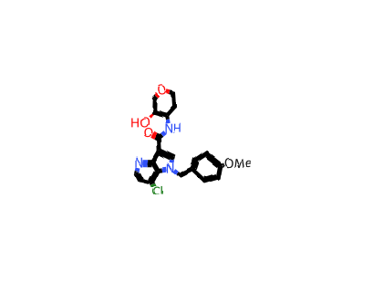 COc1ccc(Cn2cc(C(=O)NC3CCOC[C@@H]3O)c3nccc(Cl)c32)cc1